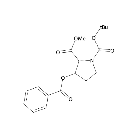 COC(=O)C1C(OC(=O)c2ccccc2)CCN1C(=O)OC(C)(C)C